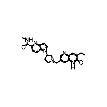 CCc1cc2ncc(CN3CC[C@@H](n4ccc5nc(C(=O)NC)ccc54)C3)cc2[nH]c1=O